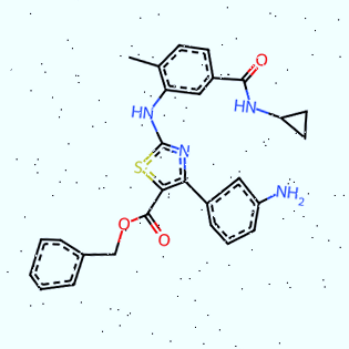 Cc1ccc(C(=O)NC2CC2)cc1Nc1nc(-c2cccc(N)c2)c(C(=O)OCc2ccccc2)s1